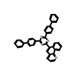 c1ccc(-c2ccc(-c3nc(-c4ccc(-c5ccccc5)cc4)nc(-c4cc5cccnc5c5ccccc45)n3)cc2)cc1